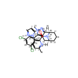 Cc1ccc(-n2cccn2)c(C(=O)N2[C@H]3CCC[C@@H]2c2nn(C)c(-c4cc(Cl)cc(Cl)c4)c2C3)n1